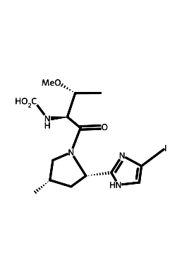 CO[C@H](C)[C@H](NC(=O)O)C(=O)N1C[C@@H](C)C[C@H]1c1nc(I)c[nH]1